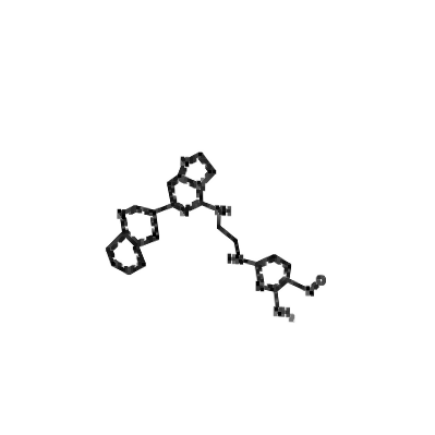 Nc1nc(NCCNc2nc(-c3cnc4ccccc4c3)cc3nccn23)ccc1N=O